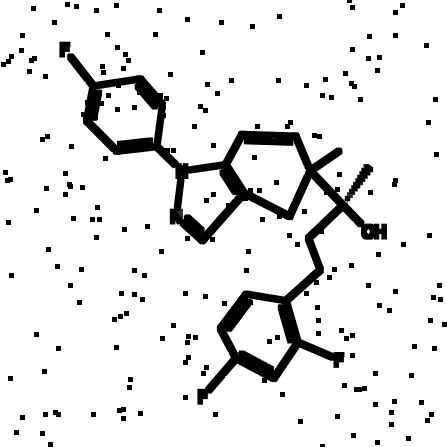 CC1([C@@](C)(O)CCc2ccc(F)cc2F)C=Cc2c(cnn2-c2ccc(F)cc2)C1